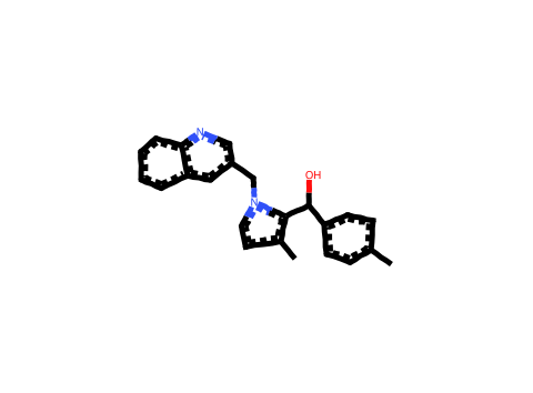 Cc1ccc(C(O)c2c(C)ccn2Cc2cnc3ccccc3c2)cc1